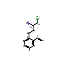 C=Cc1ccccc1CCC(I)CCl